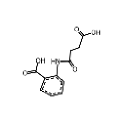 O=C(O)CCC(=O)Nc1ccccc1C(=O)O